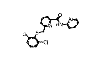 O=C(Nc1ccccn1)c1cccc(CSc2c(Cl)cccc2Cl)n1